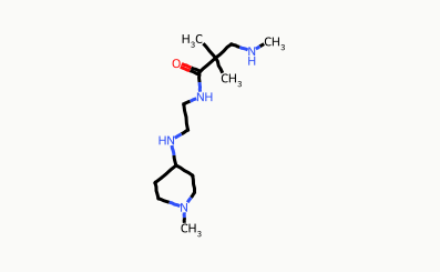 CNCC(C)(C)C(=O)NCCNC1CCN(C)CC1